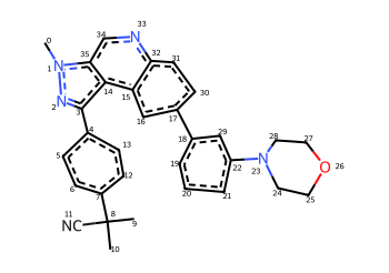 Cn1nc(-c2ccc(C(C)(C)C#N)cc2)c2c3cc(-c4cccc(N5CCOCC5)c4)ccc3ncc21